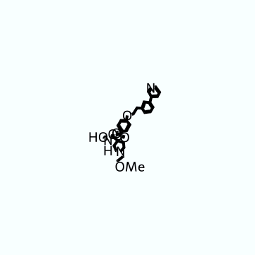 COCCN1CCC(C(=O)NO)(S(=O)(=O)c2ccc(OCCc3cccc(-c4cccnc4)c3)cc2)CC1